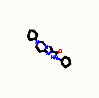 O=C(Nc1ccccc1)C1=C[N+]2CN(c3ccccc3)C=CC2=N1